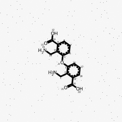 NCc1c(Oc2cccc(C(=O)O)c2CN)cccc1C(=O)O